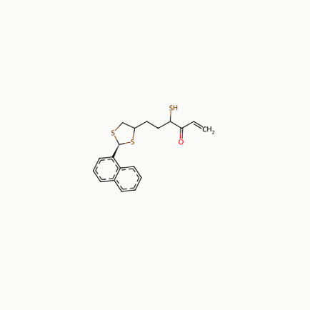 C=CC(=O)C(S)CCC1CS[C@H](c2cccc3ccccc23)S1